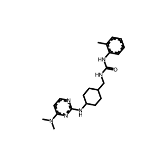 Cc1ccccc1NC(=O)NCC1CCC(Nc2nccc(N(C)C)n2)CC1